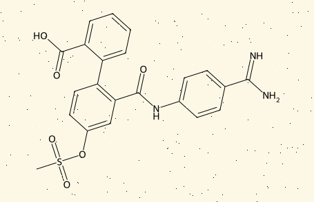 CS(=O)(=O)Oc1ccc(-c2ccccc2C(=O)O)c(C(=O)Nc2ccc(C(=N)N)cc2)c1